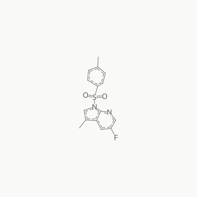 Cc1ccc(S(=O)(=O)n2cc(C)c3cc(F)cnc32)cc1